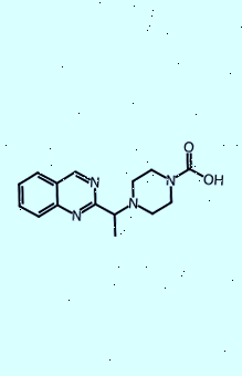 CC(c1ncc2ccccc2n1)N1CCN(C(=O)O)CC1